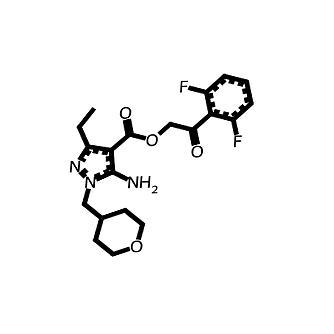 CCc1nn(CC2CCOCC2)c(N)c1C(=O)OCC(=O)c1c(F)cccc1F